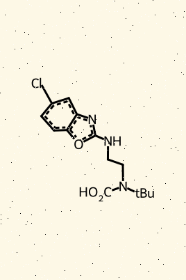 CC(C)(C)N(CCNc1nc2cc(Cl)ccc2o1)C(=O)O